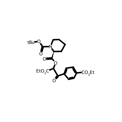 CCOC(=O)c1ccc(C(=O)C(OC(=O)[C@@H]2CCCCN2C(=O)OC(C)(C)C)C(=O)OCC)cc1